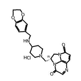 Cl.O=c1ccc2ncc(=O)n3c2n1C[C@H]3CN1CCC(NCc2ccc3c(c2)OCCO3)CC1